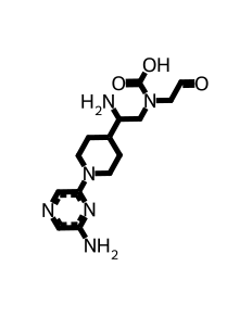 Nc1cncc(N2CCC(C(N)CN(CC=O)C(=O)O)CC2)n1